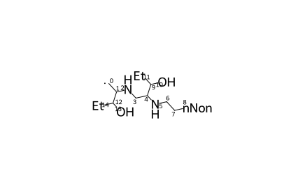 [CH2]C(NCC(NCCCCCCCCCCC)C(O)CC)C(O)CC